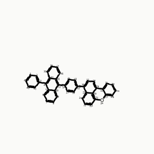 c1ccc(-c2c3ccccc3c(-c3ccc(-c4ccc5c6c(cccc46)Oc4ccccc4-5)cc3)c3ccccc23)cc1